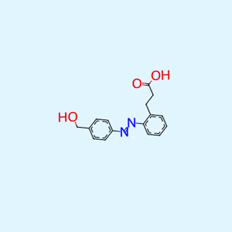 O=C(O)CCc1ccccc1N=Nc1ccc(CO)cc1